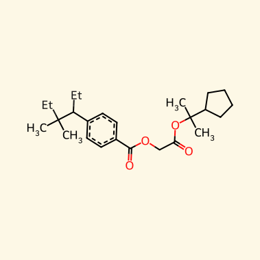 CCC(c1ccc(C(=O)OCC(=O)OC(C)(C)C2CCCC2)cc1)C(C)(C)CC